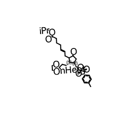 CCCCCCCC1(CC[C@@H]2C(CC=CCCCC(=O)OC(C)C)C(=O)C[C@H]2COS(=O)(=O)c2ccc(C)cc2)OCCO1